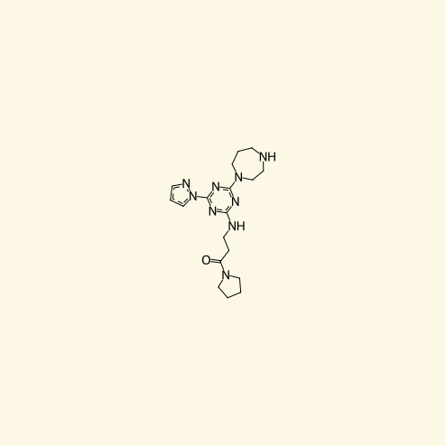 O=C(CCNc1nc(N2CCCNCC2)nc(-n2cccn2)n1)N1CCCC1